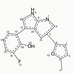 Cc1ccc(-c2cnc3[nH]cc(-c4cccc(F)c4O)c3c2)o1